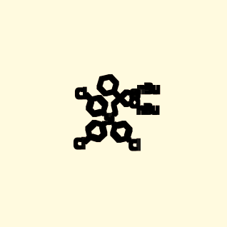 CCCCOCC(CC[Si](c1ccc(Cl)cc1)(c1ccc(Cl)cc1)c1ccc(Cl)cc1)(COCCCC)C1CCCCC1